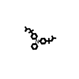 C=C(C)CC(C)(C)c1ccc(N(c2ccccc2)c2ccc(C(C)(C)C=C(C)C)cc2)cc1